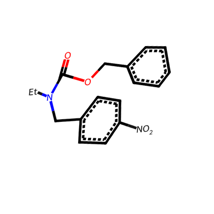 CCN(Cc1ccc([N+](=O)[O-])cc1)C(=O)OCc1ccccc1